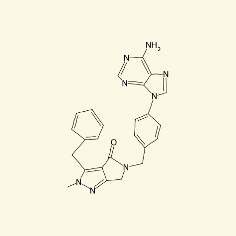 Cn1nc2c(c1Cc1ccccc1)C(=O)N(Cc1ccc(-n3cnc4c(N)ncnc43)cc1)C2